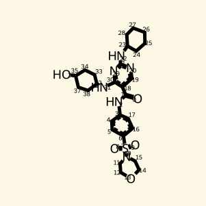 O=C(Nc1ccc(S(=O)(=O)N2CCOCC2)cc1)c1cnc(NC2CCCCC2)nc1NC1CCC(O)CC1